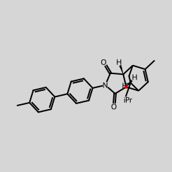 CC1=CC2[C@H](C(C)C)CC1[C@H]1C(=O)N(c3ccc(-c4ccc(C)cc4)cc3)C(=O)[C@@H]21